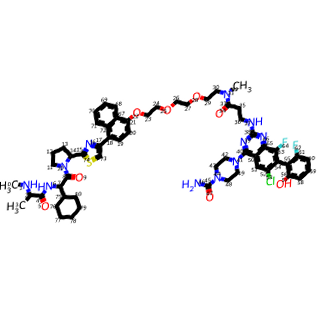 CNC(C)C(=O)NC(C(=O)N1CCCC1c1nc(-c2ccc(OCCOCCOCCN(C)C(=O)CCNc3nc(N4CCN(C(N)=O)CC4)c4cc(Cl)c(-c5c(O)cccc5F)c(F)c4n3)c3ccccc23)cs1)C1CCCCC1